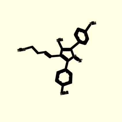 CCCCCCCCCCCCC=CC1=C(c2ccc(CCCCCCCC)cc2)[N+](=[N-])C(c2ccc(CCCC)cc2)=C1CCCC